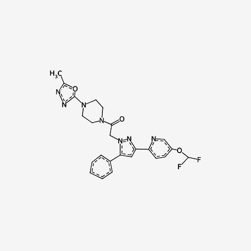 Cc1nnc(N2CCN(C(=O)Cn3nc(-c4ccc(OC(F)F)cn4)cc3-c3ccccc3)CC2)o1